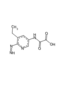 CCc1cc(NC(=O)C(=O)O)cnc1N=N